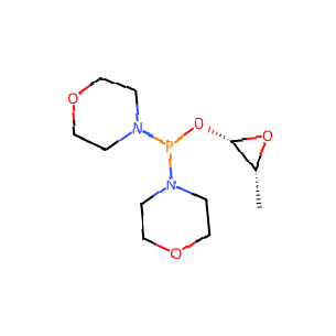 C[C@H]1O[C@H]1OP(N1CCOCC1)N1CCOCC1